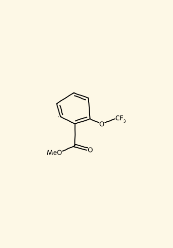 COC(=O)c1[c]cccc1OC(F)(F)F